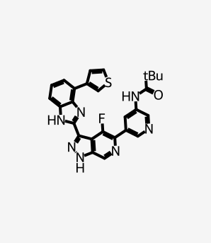 CC(C)(C)C(=O)Nc1cncc(-c2ncc3[nH]nc(-c4nc5c(-c6ccsc6)cccc5[nH]4)c3c2F)c1